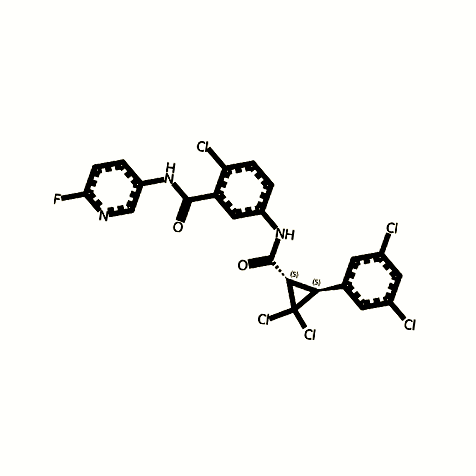 O=C(Nc1ccc(F)nc1)c1cc(NC(=O)[C@@H]2[C@@H](c3cc(Cl)cc(Cl)c3)C2(Cl)Cl)ccc1Cl